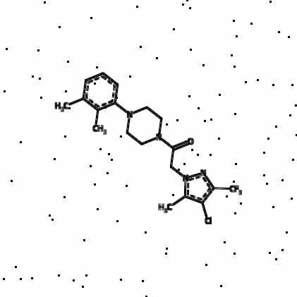 Cc1cccc(N2CCN(C(=O)Cn3nc(C(F)(F)F)c(Cl)c3C)CC2)c1C